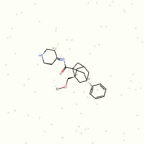 CCOC[C@]12CC3CC1(C(=O)/N=C1\CCNC[C@@H]1F)C[C@@](c1ccccc1)(C3)C2